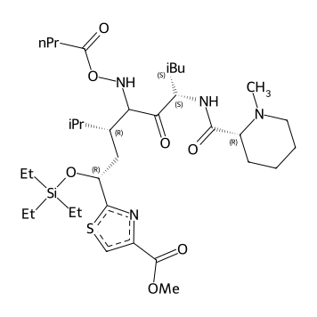 CCCC(=O)ONC(C(=O)[C@@H](NC(=O)[C@H]1CCCCN1C)[C@@H](C)CC)[C@H](C[C@@H](O[Si](CC)(CC)CC)c1nc(C(=O)OC)cs1)C(C)C